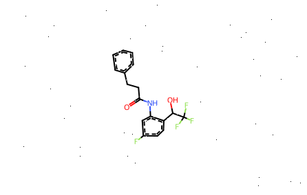 O=C(CCc1ccccc1)Nc1cc(F)ccc1C(O)C(F)(F)F